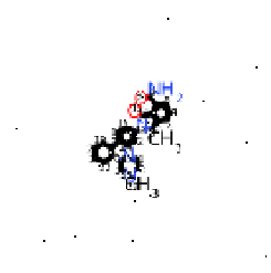 CC1c2cccc(C(N)=O)c2C(=O)N1c1ccc(C2CCCCC2)c(N2CCN(C)CC2)c1